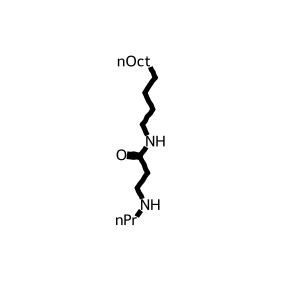 CCCCCCCCCCCCNC(=O)CCNCCC